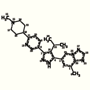 Cc1cc(-c2[nH]nc(-c3ccc(C4CCN(C)CC4)nc3)c2C(C)C)cn2ncnc12